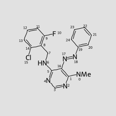 CNc1ncnc(NCc2c(F)cccc2Cl)c1N=Nc1ccccc1